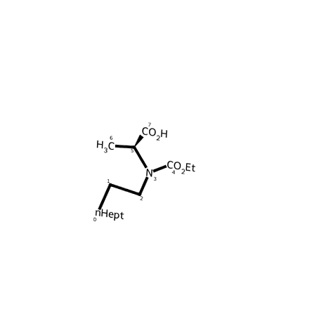 CCCCCCCCCN(C(=O)OCC)[C@@H](C)C(=O)O